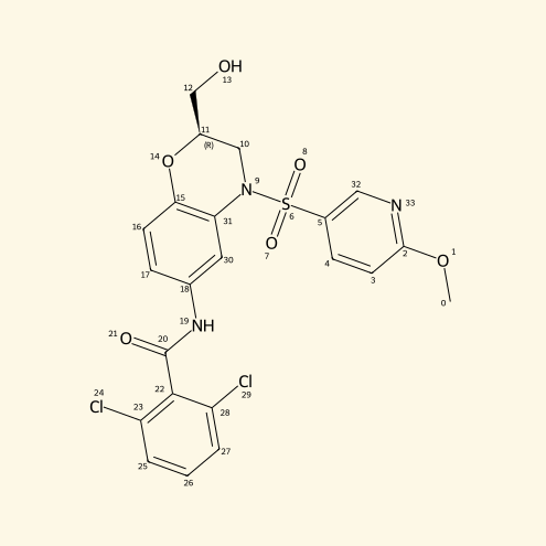 COc1ccc(S(=O)(=O)N2C[C@H](CO)Oc3ccc(NC(=O)c4c(Cl)cccc4Cl)cc32)cn1